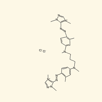 Cc1cc(N(C)CCCN(C)c2ccc(/N=N/c3n(C)nc[n+]3C)c(C)c2)ccc1/N=N/c1n(C)nc[n+]1C.[Cl-].[Cl-]